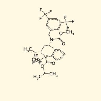 COC(=O)N(Cc1cc(C(F)(F)F)cc(C(F)(F)F)c1)[C@H]1C[C@@H](C(C)C)[N+](C(=O)OC(C)C)(C(F)(F)F)c2ccccc21